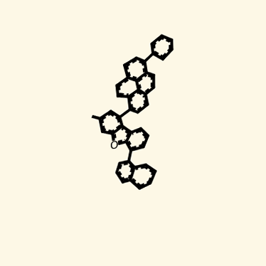 Cc1cc(-c2ccc3ccc4c(-c5ccccc5)ccc5ccc2c3c54)c2c(c1)oc1c(-c3cccc4ccccc34)cccc12